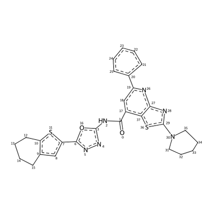 O=C(Nc1nnc(-c2cc3c(s2)CCCC3)o1)c1cc(-c2ccccc2)nc2nc(N3CCCCC3)sc12